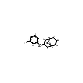 Ic1cccc(OC2CC3CCCC(C2)N3)c1